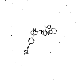 CC(OC1CCCCO1)c1nccn1Cc1cc(-c2ccc(C#C[Si](C)(C)C)cc2)on1